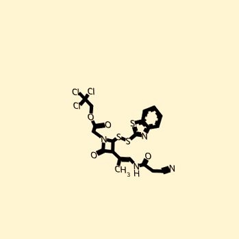 CC(=CNC(=O)CC#N)C1C(=O)N(CC(=O)OCC(Cl)(Cl)Cl)C1SSc1nc2ccccc2s1